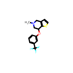 CN1Cc2ccsc2C(Oc2cccc(C(F)(F)F)c2)C1